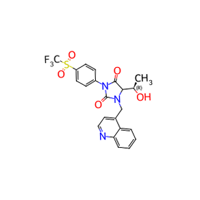 C[C@@H](O)C1C(=O)N(c2ccc(S(=O)(=O)C(F)(F)F)cc2)C(=O)N1Cc1ccnc2ccccc12